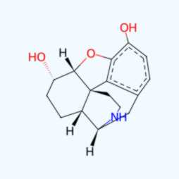 Oc1ccc2c3c1O[C@H]1[C@@H](O)CC[C@H]4[C@@H](C2)NCC[C@@]341